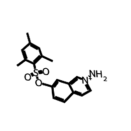 Cc1cc(C)c(S(=O)(=O)Oc2ccc3cc[n+](N)cc3c2)c(C)c1